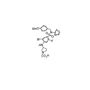 COc1ccc(CN(c2cscn2)S(=O)(=O)c2cc(Br)c(NC3CCN(C(=O)O)C3)cc2F)cc1